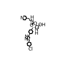 O=C(NCCc1ccncc1)O[C@@H]1[C@@H](O)CN[C@@H]1Cc1ccc(-c2cn(-c3ccc(Cl)cc3)nn2)cc1